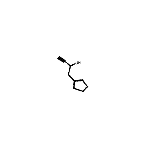 C#CC(O)CC1CCCC1